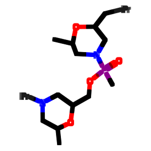 CC(C)CC1CN(P(C)(=O)OCC2CN(C(C)C)CC(C)O2)CC(C)O1